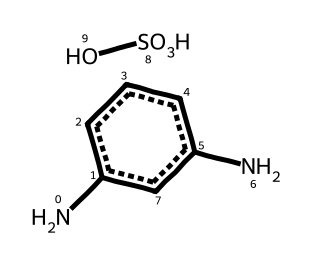 Nc1cccc(N)c1.O=S(=O)(O)O